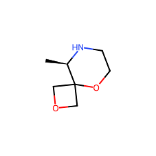 C[C@H]1NCCOC12COC2